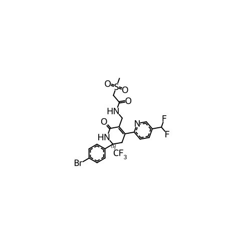 CS(=O)(=O)CC(=O)NCC1=C(c2ccc(C(F)F)cn2)C[C@](c2ccc(Br)cc2)(C(F)(F)F)NC1=O